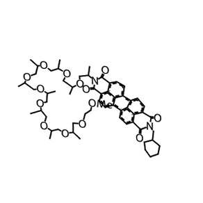 COCCOCC(C)OCC(C)OCC(C)OCC(C)OCC(C)OCC(C)OCC(C)OCC(C)OCC(C)N1C(=O)c2ccc3c4ccc5c6c(ccc(c7ccc(c2c37)C1=O)c64)C(=O)N(CC1CCCCC1)C5=O